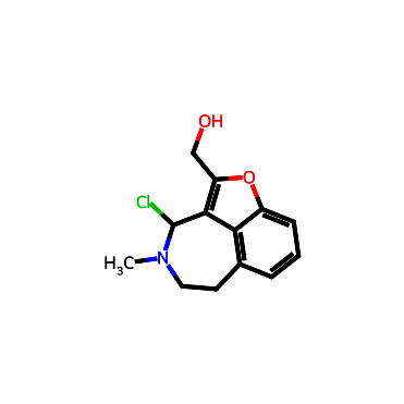 CN1CCc2cccc3oc(CO)c(c23)C1Cl